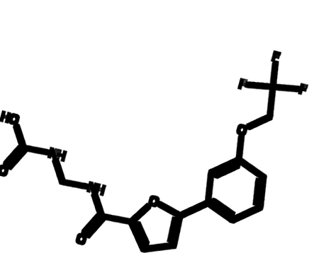 O=C(O)NCNC(=O)c1ccc(-c2cccc(OCC(F)(F)F)c2)o1